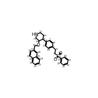 O=S(=O)(CCc1ccc(C2CCNCC2OCc2ccc3ccccc3c2)cc1)c1ccccc1